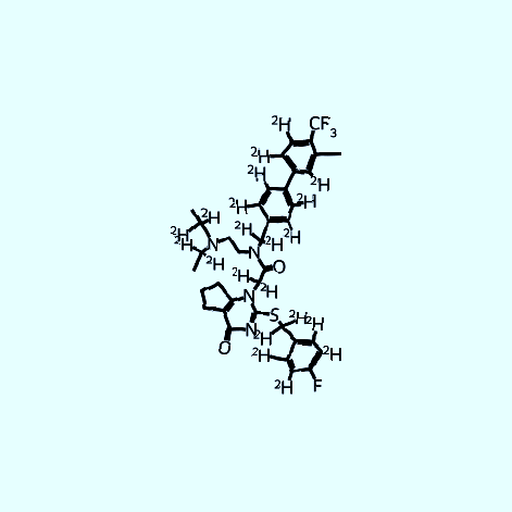 [2H]c1c([2H])c(C([2H])([2H])Sc2nc(=O)c3c(n2C([2H])([2H])C(=O)N(CCN(C([2H])([2H])C)C([2H])([2H])C)C([2H])([2H])c2c([2H])c([2H])c(-c4c([2H])c([2H])c(C(F)(F)F)c(C)c4[2H])c([2H])c2[2H])CCC3)c([2H])c([2H])c1F